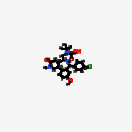 COc1ccc2c(c1)C(c1ccc(Cl)cc1)=NC(CN(C(=O)O)C(C)(C)C)c1cc(=O)n(C)cc1-2